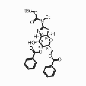 CCN(C(=O)OC(C)(C)C)C1=N[C@@H]2[C@@H](O)[C@@H](OC(=O)c3ccccc3)[C@@H](COC(=O)c3ccccc3)O[C@@H]2S1